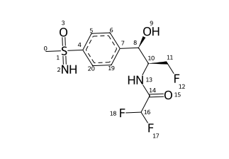 CS(=N)(=O)c1ccc([C@@H](O)[C@@H](CF)NC(=O)C(F)F)cc1